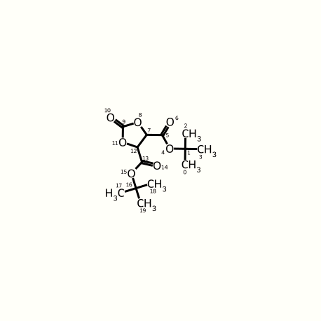 CC(C)(C)OC(=O)C1OC(=O)OC1C(=O)OC(C)(C)C